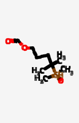 CC(C)(CCCOC=O)[SH](C)(C)=O